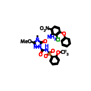 COc1nn(C(=O)NS(=O)(=O)c2ccccc2OC(F)(F)F)c(=O)n1C.Nc1c([N+](=O)[O-])ccc(Oc2ccccc2)c1Cl